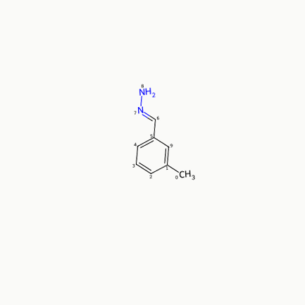 Cc1cccc(/C=N/N)c1